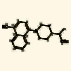 CC(=O)OC(C)C1CCN(c2ccc(C#N)c3ccccc23)CC1